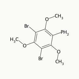 COc1c(P)c(OC)c(Br)c(OC)c1Br